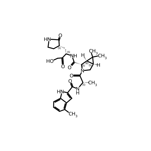 Cc1cccc2[nH]c(C(=O)N[C@@H](C)C(=O)N3C[C@H]4[C@@H]([C@H]3C(=O)N[C@@H](C[C@@H]3CCNC3=O)C(=O)CO)C4(C)C)cc12